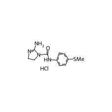 CSc1ccc(NC(=O)N2CCN=C2N)cc1.Cl